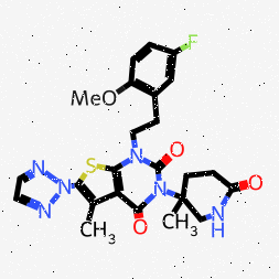 COc1ccc(F)cc1CCn1c(=O)n(C2(C)CCC(=O)NC2)c(=O)c2c(C)c(-n3nccn3)sc21